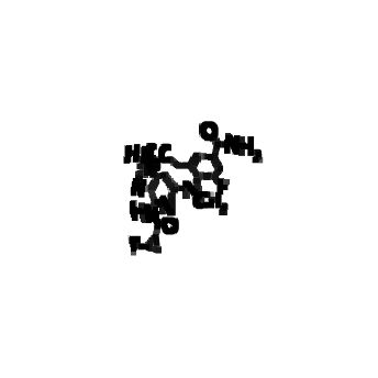 CCc1cc(C(N)=O)cc(F)c1N(C)c1cc2c(ncn2C)c(NC(=O)[C@H]2C[C@H]2F)n1